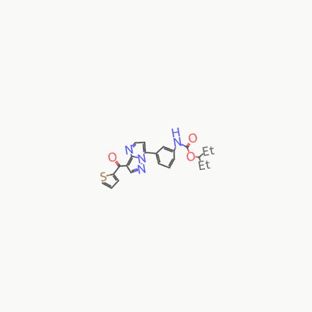 CCC(CC)OC(=O)Nc1cccc(-c2ccnc3c(C(=O)c4cccs4)cnn23)c1